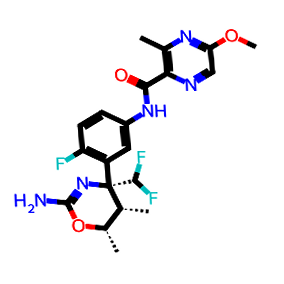 COc1cnc(C(=O)Nc2ccc(F)c([C@]3(C(F)F)N=C(N)O[C@@H](C)[C@H]3C)c2)c(C)n1